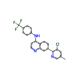 Cc1cnc(-c2ccc3c(Nc4ccc(C(F)(F)F)cc4)ccnc3c2)c(Cl)c1